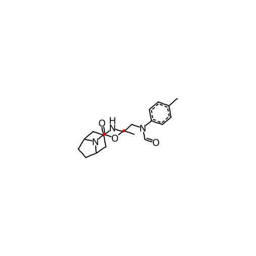 CCOC(=O)N1C2CCC1CC(NCCN(C=O)c1ccc(C)cc1)C2